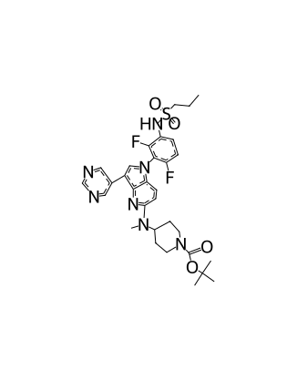 CCCS(=O)(=O)Nc1ccc(F)c(-n2cc(-c3cncnc3)c3nc(N(C)C4CCN(C(=O)OC(C)(C)C)CC4)ccc32)c1F